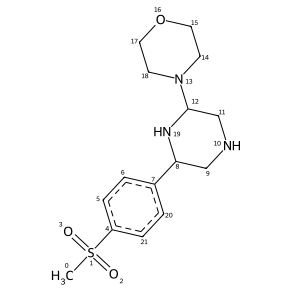 CS(=O)(=O)c1ccc(C2CNCC(N3CCOCC3)N2)cc1